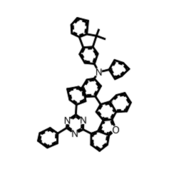 CC1(C)c2ccccc2-c2ccc(N(c3ccccc3)c3cccc(-c4cc5c(oc6cccc(-c7nc(-c8ccccc8)nc(-c8ccccc8)n7)c65)c5ccccc45)c3)cc21